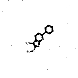 CCCCSc1sc2nc(-c3ccccc3)ccc2c1[N+](=O)[O-]